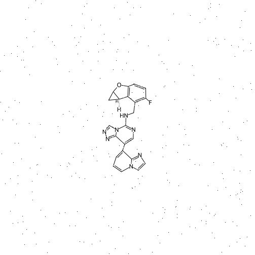 Fc1ccc2c(c1CNc1ncc(-c3cccn4ccnc34)c3nncn13)[C@H]1CC1O2